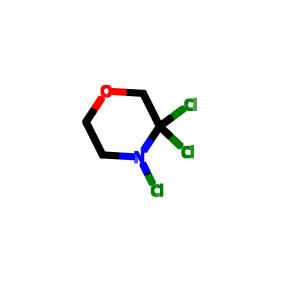 ClN1CCOCC1(Cl)Cl